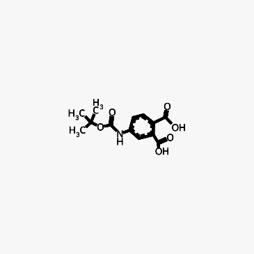 CC(C)(C)OC(=O)Nc1ccc(C(=O)O)c(C(=O)O)c1